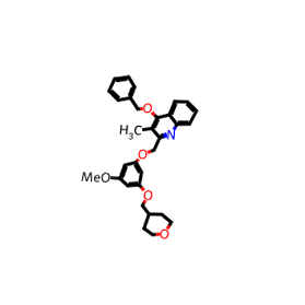 COc1cc(OCc2nc3ccccc3c(OCc3ccccc3)c2C)cc(OCC2CCOCC2)c1